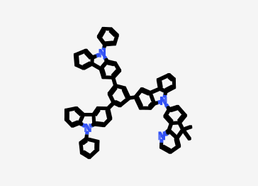 CC1(C)c2ccc(-n3c4ccccc4c4cc(-c5cc(-c6ccc7c(c6)c6ccccc6n7-c6ccccc6)cc(-c6ccc7c(c6)c6ccccc6n7-c6ccccc6)c5)ccc43)cc2-c2ncccc21